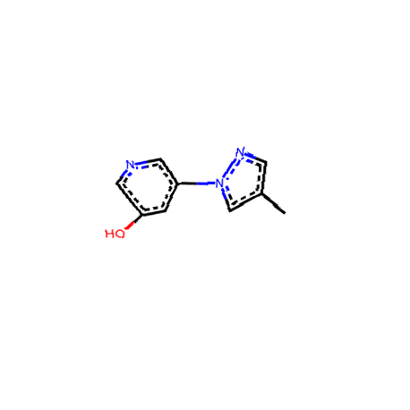 Cc1cnn(-c2cncc(O)c2)c1